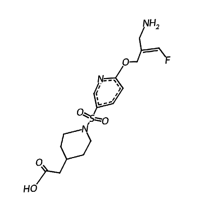 NC/C(=C/F)COc1ccc(S(=O)(=O)N2CCC(CC(=O)O)CC2)cn1